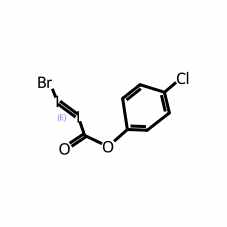 O=C(Oc1ccc(Cl)cc1)/I=I/Br